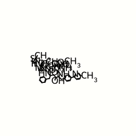 COC(=O)NC(C(=O)NC(Cc1ccc(-c2ccc(C)cn2)cc1)C(O)CC(Cc1ccccc1)NC(=O)C(N1CCN(Cc2csc(C)n2)C1=O)C(C)(C)C)C(C)(C)C